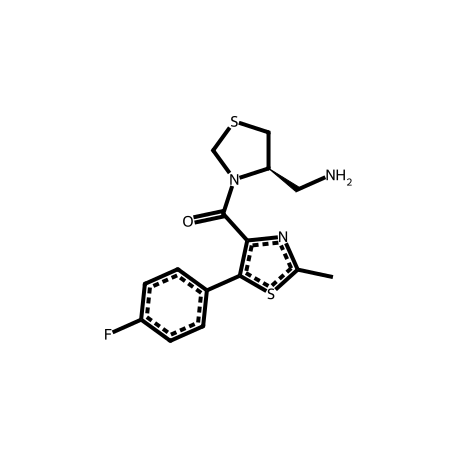 Cc1nc(C(=O)N2CSC[C@H]2CN)c(-c2ccc(F)cc2)s1